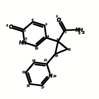 NC(=O)C1(c2ccc(=O)[nH]c2)CC1c1ccccn1